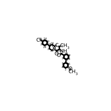 COc1cccc(-c2cccc(C(=O)N[C@@H](C(=O)N3CCC(c4ccc(Cl)cc4)CC3)C(C)C)c2)c1